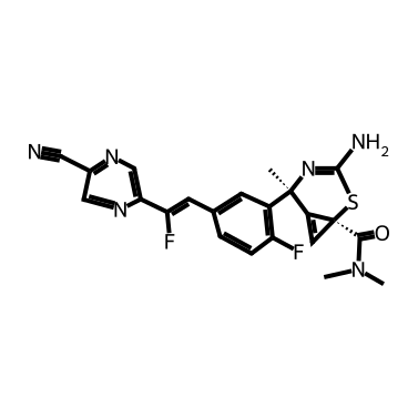 CN(C)C(=O)[C@]12C=C1[C@@](C)(c1cc(/C=C(\F)c3cnc(C#N)cn3)ccc1F)N=C(N)S2